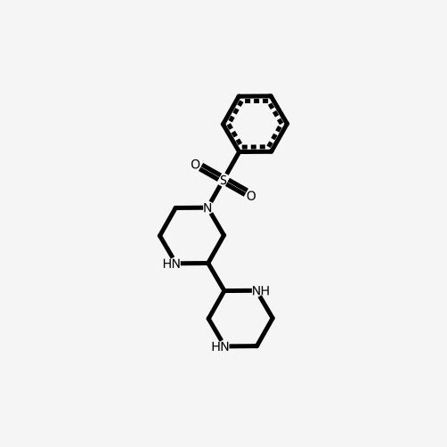 O=S(=O)(c1ccccc1)N1CCNC(C2CNCCN2)C1